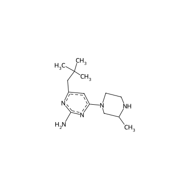 CC1CN(c2cc(CC(C)(C)C)nc(N)n2)CCN1